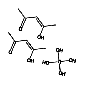 CC(=O)/C=C(/C)O.CC(=O)/C=C(/C)O.[OH][Ti]([OH])([OH])[OH]